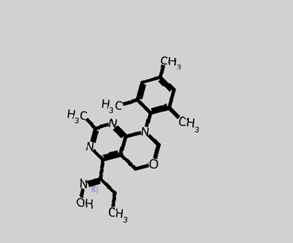 CC/C(=N\O)c1nc(C)nc2c1COCN2c1c(C)cc(C)cc1C